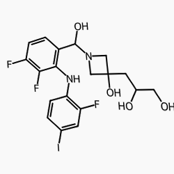 OCC(O)CC1(O)CN(C(O)c2ccc(F)c(F)c2Nc2ccc(I)cc2F)C1